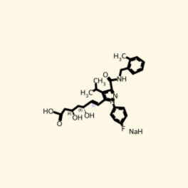 Cc1ccccc1CNC(=O)c1nn(-c2ccc(F)cc2)c(/C=C/[C@H](O)C[C@@H](O)CC(=O)O)c1C(C)C.[NaH]